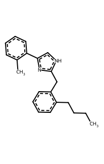 CCCCc1ccccc1Cc1nc(-c2ccccc2C)c[nH]1